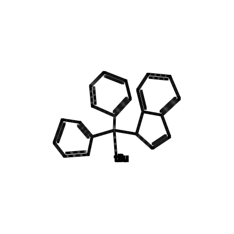 CC(C)(C)C(c1ccccc1)(c1ccccc1)C1C=Cc2ccccc21